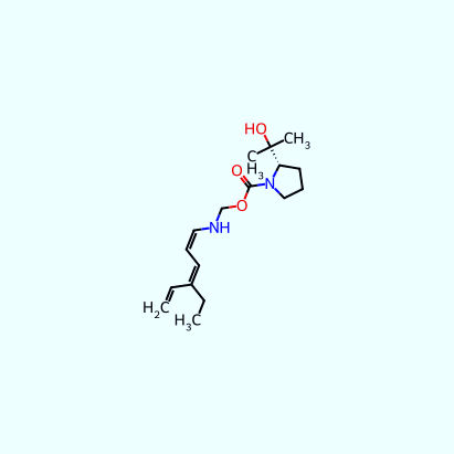 C=C/C(=C\C=C/NCOC(=O)N1CCC[C@H]1C(C)(C)O)CC